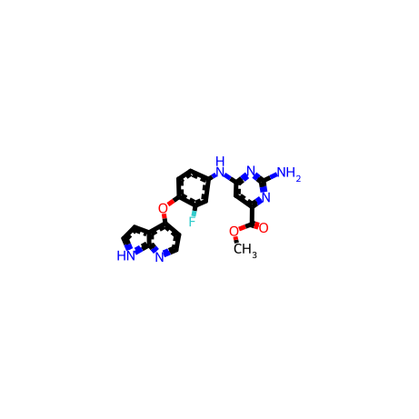 COC(=O)c1cc(Nc2ccc(Oc3ccnc4[nH]ccc34)c(F)c2)nc(N)n1